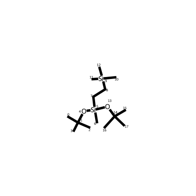 CC(C)(C)O[Si](C)(CC[Si](C)(C)C)OC(C)(C)C